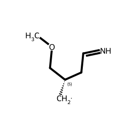 [CH2][C@@H](CC=N)COC